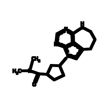 CN(C)C(=O)C1CCC(n2cc3c4c(ncnc42)NCCC3)C1